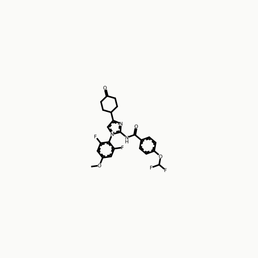 COc1cc(F)c(-n2cc(C3CCC(=O)CC3)nc2NC(=O)c2ccc(OC(F)F)cc2)c(F)c1